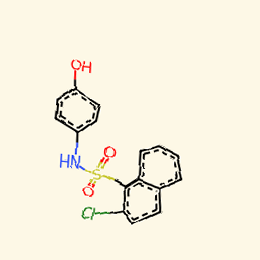 O=S(=O)(Nc1ccc(O)cc1)c1c(Cl)ccc2ccccc12